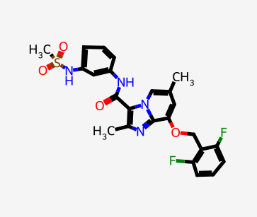 Cc1cc(OCc2c(F)cccc2F)c2nc(C)c(C(=O)Nc3cccc(NS(C)(=O)=O)c3)n2c1